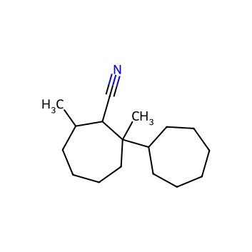 CC1CCCCC(C)(C2CCCCCC2)C1C#N